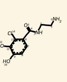 NCCNC(=O)c1ccc(O)c(O)c1Cl